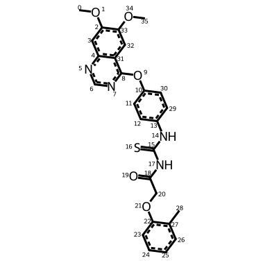 COc1cc2ncnc(Oc3ccc(NC(=S)NC(=O)COc4ccccc4C)cc3)c2cc1OC